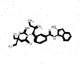 C=C(CC)[C@H](c1cccc(C(=O)N[C@@H]2c3ccccc3C[C@H]2O)c1)N1C(=N)NC(CC)(CC)CC1=O